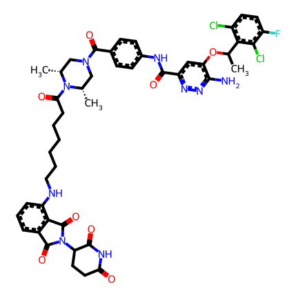 CC(Oc1cc(C(=O)Nc2ccc(C(=O)N3C[C@@H](C)N(C(=O)CCCCCCNc4cccc5c4C(=O)N(C4CCC(=O)NC4=O)C5=O)[C@@H](C)C3)cc2)nnc1N)c1c(Cl)ccc(F)c1Cl